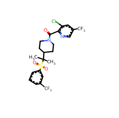 CC(C)(C1CCN(C(=O)c2ncc(C(F)(F)F)cc2Cl)CC1)S(=O)(=O)c1cccc(C(F)(F)F)c1